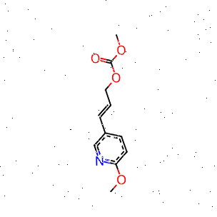 COC(=O)OCC=Cc1ccc(OC)nc1